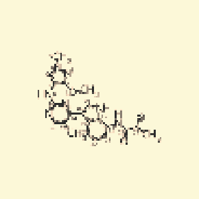 COc1nn(C)cc1Nc1ncc(C)c(-c2c[nH]c3c(NC(=O)C(C)Br)cccc23)n1